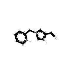 O=Cc1cn(Cc2ccccn2)cn1